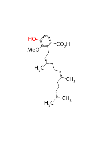 COc1c(O)ccc(C(=O)O)c1CC=C(C)CCC=C(C)CCC=C(C)C